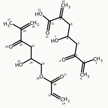 C=C(C)C(=O)CC(O)CC(=C)C(=O)O.C=CC(=O)OCC(O)CC(=O)C(=C)C